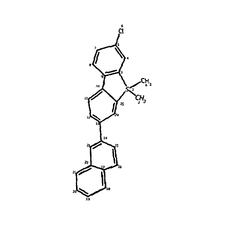 CS1(C)c2cc(Cl)ccc2-c2ccc(-c3ccc4ccccc4c3)cc21